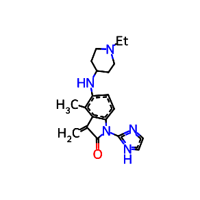 C=C1C(=O)N(c2ncc[nH]2)c2ccc(NC3CCN(CC)CC3)c(C)c21